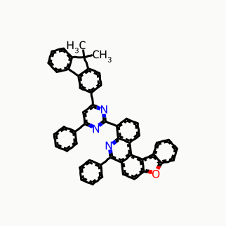 CC1(C)c2ccccc2-c2cc(-c3cc(-c4ccccc4)nc(-c4cccc5c4nc(-c4ccccc4)c4ccc6oc7ccccc7c6c45)n3)ccc21